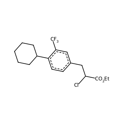 CCOC(=O)C(Cl)Cc1ccc(C2CCCCC2)c(C(F)(F)F)c1